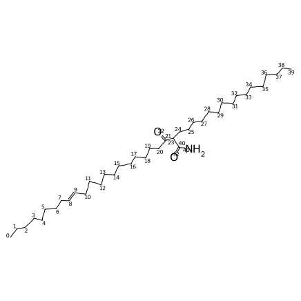 CCCCCCCCC=CCCCCCCCCCCCC(=O)C(CCCCCCCCCCCCCCCC)C(N)=O